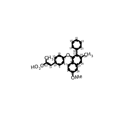 COc1ccc2c(Oc3ccc(/C=C(\C)C(=O)O)cc3)c(-c3ccccc3)c(C)cc2c1